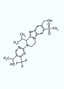 CC(O)c1cnc(N2CCn3c(nc4cc(CO)c(S(C)(=O)=O)cc43)C2C(C)C)nc1C(F)(F)F